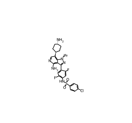 CC(C)n1nc(-c2cc(F)c(NS(=O)(=O)c3ccc(Cl)cc3)cc2F)c2c(N)ncc([C@H]3CC[C@H](N)CC3)c21